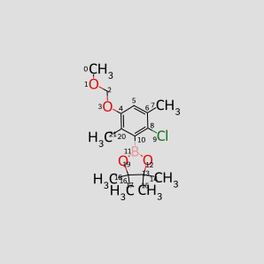 COCOc1cc(C)c(Cl)c(B2OC(C)(C)C(C)(C)O2)c1C